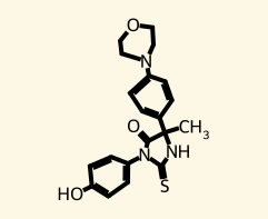 CC1(c2ccc(N3CCOCC3)cc2)NC(=S)N(c2ccc(O)cc2)C1=O